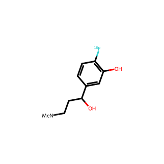 CNCCC(O)c1ccc([18F])c(O)c1